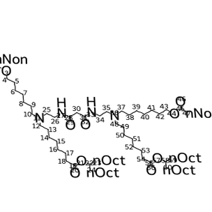 CCCCCCCCCC(=O)OCCCCCCCN(CCCCCCCC(=O)OC(CCCCCCCC)CCCCCCCC)CCNC(=O)CC(=O)NCCN(CCCCCCCOC(=O)CCCCCCCCC)CCCCCCCC(=O)OC(CCCCCCCC)CCCCCCCC